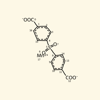 O=C([O-])c1ccc(S(=O)(=O)c2ccc(C(=O)[O-])cc2)cc1.[Mn+2]